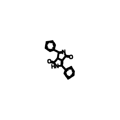 O=C1N=C(c2ccccc2)C2C(=O)NC(c3ccccc3)=C12